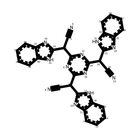 N#CC(c1nc(C(C#N)c2nc3ccccc3[nH]2)nc(C(C#N)c2nc3ccccc3[nH]2)n1)c1nc2ccccc2[nH]1